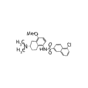 COc1ccc(NS(=O)(=O)c2ccc3c(Cl)cccc3c2)c2c1C[C@@H](N(C)C)CC2